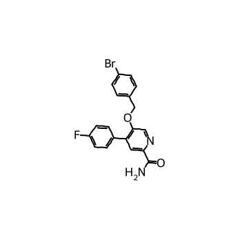 NC(=O)c1cc(-c2ccc(F)cc2)c(OCc2ccc(Br)cc2)cn1